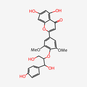 COc1cc(-c2cc(=O)c3c(O)cc(O)cc3o2)cc(OC)c1OC(CO)C(O)c1ccc(O)cc1